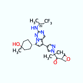 C[C@@H](CC(F)(F)F)Nc1ncc2c(-c3cnn(C(C)(C)C(=O)C4COC4)c3)cc([C@H]3CC[C@@](C)(O)CC3)n2n1